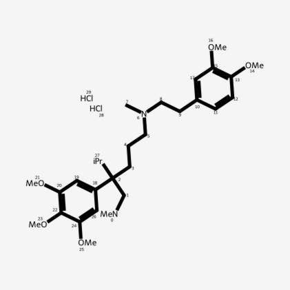 CNCC(CCCN(C)CCc1ccc(OC)c(OC)c1)(c1cc(OC)c(OC)c(OC)c1)C(C)C.Cl.Cl